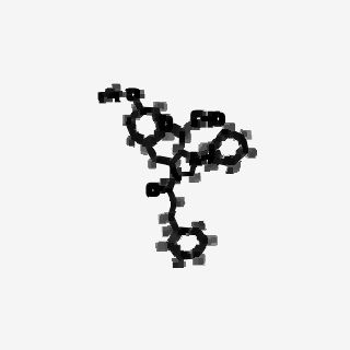 CCCOc1ccc(C=C2C(C(=O)C=O)NCN2C(=O)CCc2ccccc2)cc1.c1ccccc1